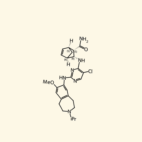 COc1cc2c(cc1Nc1ncc(Cl)c(N[C@H]3[C@@H](C(N)=O)[C@@H]4C=C[C@H]3C4)n1)CCN(C(C)C)CC2